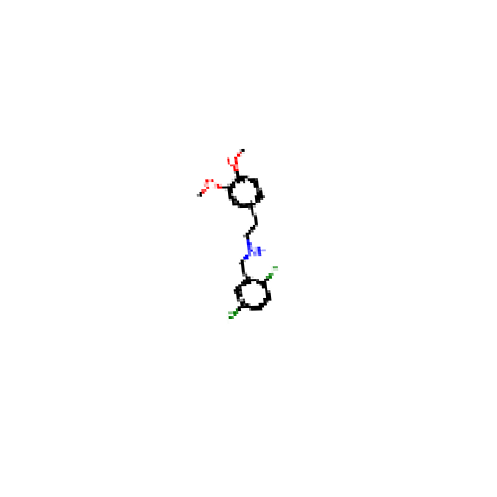 COc1ccc(CCNCc2cc(F)ccc2F)cc1OC